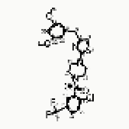 COc1cc(Cc2csc(N3CCN(S(=O)(=O)c4cc(C(F)(F)F)ccc4Cl)CC3)n2)cc(OC)c1